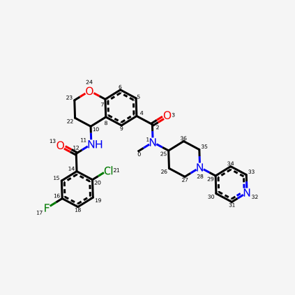 CN(C(=O)c1ccc2c(c1)C(NC(=O)c1cc(F)ccc1Cl)CCO2)C1CCN(c2ccncc2)CC1